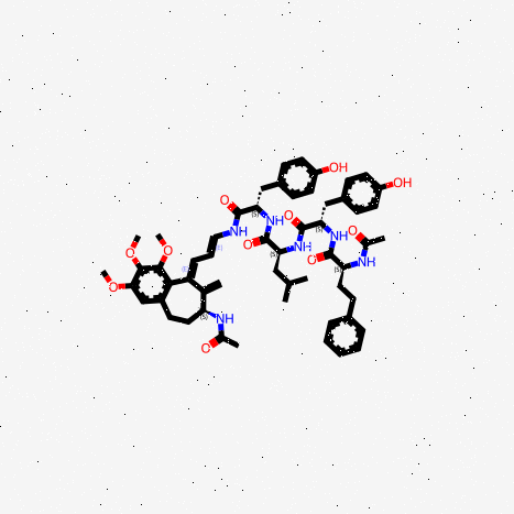 C=C1/C(=C\C=C\NC(=O)[C@H](Cc2ccc(O)cc2)NC(=O)[C@H](CC(C)C)NC(=O)[C@H](Cc2ccc(O)cc2)NC(=O)[C@H](CCc2ccccc2)NC(C)=O)c2c(cc(OC)c(OC)c2OC)CC[C@@H]1NC(C)=O